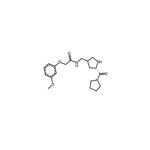 COc1cccc(OCC(=O)NCC2CN[C@H](C(=O)N3CCSC3)C2)c1